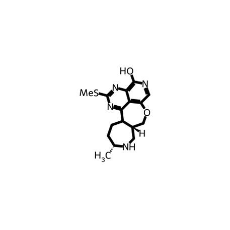 CSc1nc2c3c(cnc(O)c3n1)OC[C@@H]1CN[C@H](C)CCC21